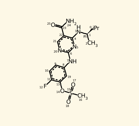 CC(C)[C@@H](C)Nc1nc(Nc2ccc(F)c(OS(C)(=O)=O)c2)ncc1C(N)=O